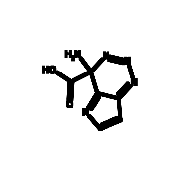 NC1(C(=O)O)N=NN=C2C=CN=C21